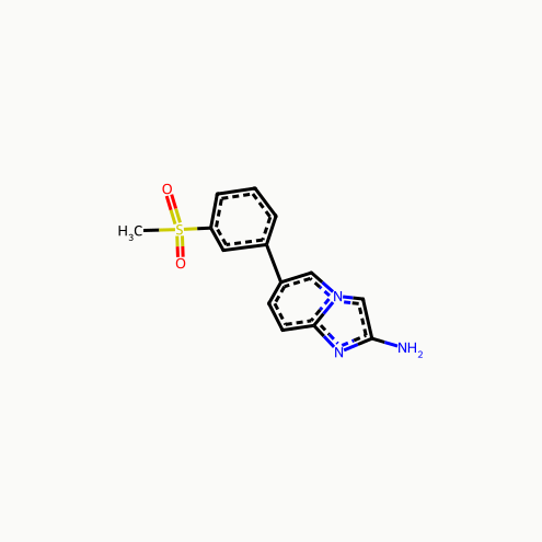 CS(=O)(=O)c1cccc(-c2ccc3nc(N)cn3c2)c1